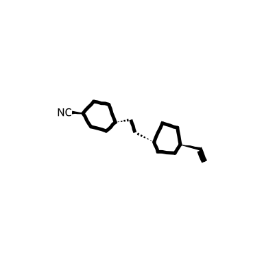 C=C[C@H]1CC[C@H](CC[C@H]2CC[C@H](C#N)CC2)CC1